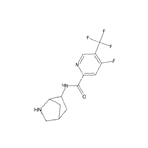 O=C(NC1CC2CNC1C2)c1cc(F)c(C(F)(F)F)cn1